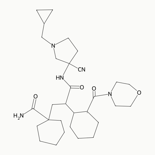 N#CC1(NC(=O)C(CC2(C(N)=O)CCCCC2)C2CCCC[C]2C(=O)N2CCOCC2)CCN(CC2CC2)C1